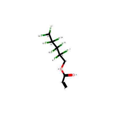 C=CC(=O)OCC(F)(F)C(F)(F)C(F)(F)C(F)F